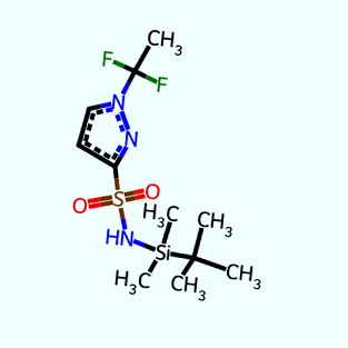 CC(F)(F)n1ccc(S(=O)(=O)N[Si](C)(C)C(C)(C)C)n1